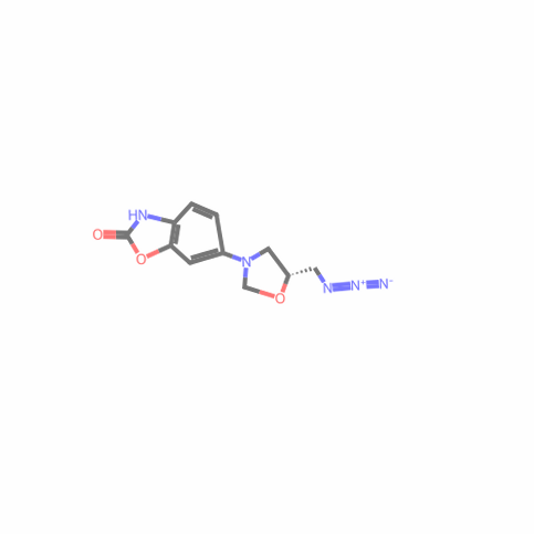 [N-]=[N+]=NC[C@H]1CN(c2ccc3[nH]c(=O)oc3c2)CO1